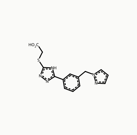 O=C(O)CSc1nnc(-c2cccc(Cn3cccn3)c2)[nH]1